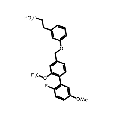 COc1ccc(F)c(-c2ccc(COc3cccc(CCC(=O)O)c3)cc2OC(F)(F)F)c1